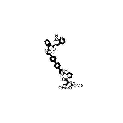 COC(=O)N[C@H](C(=O)N1CCC[C@H]1c1ncc(-c2ccc(-c3ccc(-c4cnc([C@H]5C6CCC(C6)[C@@H]5C(=O)NCc5cccnc5O)[nH]4)cc3)cc2)[nH]1)[C@@H](C)OC